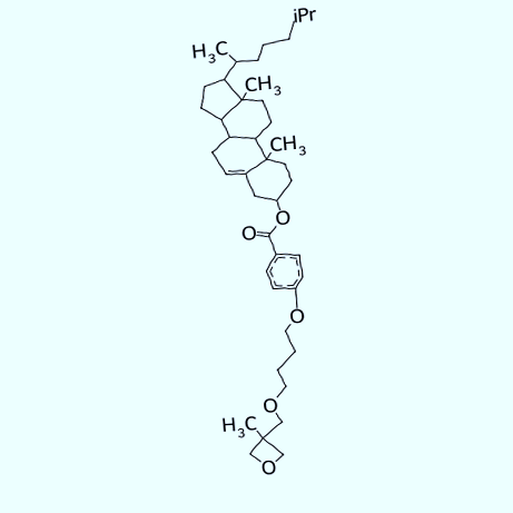 CC(C)CCCC(C)C1CCC2C3CC=C4CC(OC(=O)c5ccc(OCCCCOCC6(C)COC6)cc5)CCC4(C)C3CCC12C